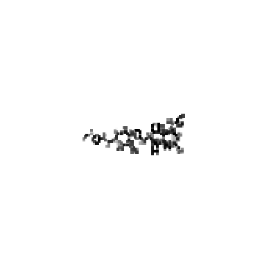 CCOCCc1ccc(OCCNc2nc(C)nc(CSC)c2Cl)c(C)c1